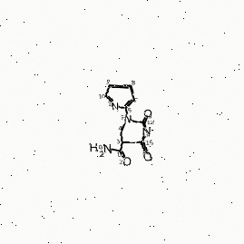 NC(=O)C1CN(c2ccccn2)C(=O)[N]C1=O